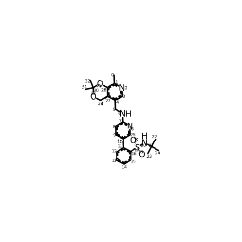 Cc1ncc(CNc2ccc(-c3ccccc3S(=O)(=O)NC(C)(C)C)cn2)c2c1OC(C)(C)OC2